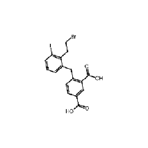 O=C(O)c1ccc(Cc2cccc(I)c2CCBr)c(C(=O)O)c1